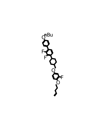 C=CCCCOc1ccc(OCC2CCC(c3ccc(-c4ccc(OCCCC)cc4)c(F)c3F)CC2)cc1F